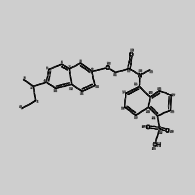 CCC(C)c1ccc2cc(OCC(=O)N(C)c3cccc4c(S(=O)(=O)O)cccc34)ccc2c1